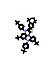 CC(C)(C)c1ccc(N2c3cc(C(C)(C)C)ccc3B3c4sc5cc6c(cc5c4N(c4ccc(C(C)(C)C)cc4)c4cc(C(C)(C)C)cc2c43)C(C)(C)CCC6(C)C)cc1